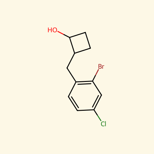 OC1CCC1Cc1ccc(Cl)cc1Br